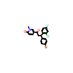 Cn1cc(C(=O)CC(c2ccc(Br)cc2)c2ccc(F)cc2Cl)ccc1=O